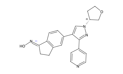 O/N=C1\CCc2cc(-c3cn([C@@H]4CCOC4)nc3-c3ccncc3)ccc21